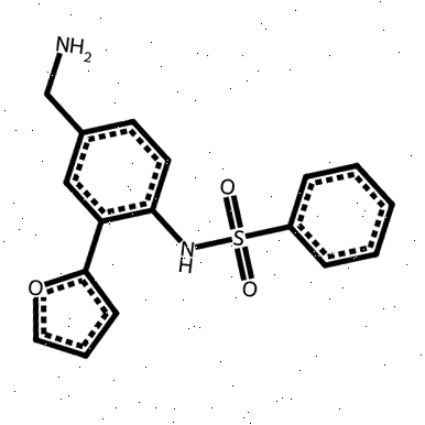 NCc1ccc(NS(=O)(=O)c2ccccc2)c(-c2ccco2)c1